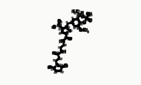 COc1cc(Cn2nc(C(=O)NCCNC(=O)CCN3C(=O)C=CC3=O)cc2[N+](=O)[O-])cc(OC)c1OP(=O)(O)O